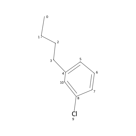 C[CH]CCc1cccc(Cl)c1